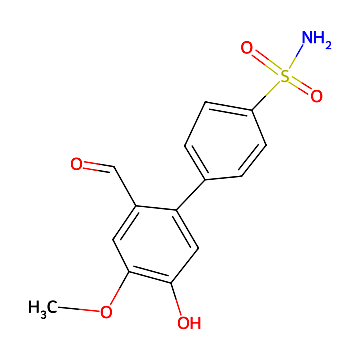 COc1cc(C=O)c(-c2ccc(S(N)(=O)=O)cc2)cc1O